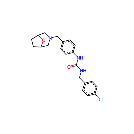 O=C(NCc1ccc(Cl)cc1)Nc1ccc(CN2CC3CCC(C2)O3)cc1